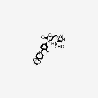 O=CNc1cnnn1CC1CN(c2ccc(N3CCC4(CC3)OCCO4)c(F)c2)C(=O)O1